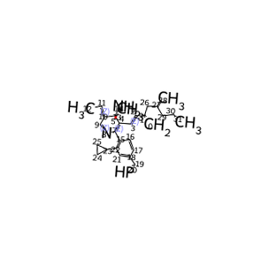 C=C(/C=C/C(CC)=C(/N=C\C(=C/C)CN)c1ccc(C=P)cc1C1CC1)CC(C)CCC